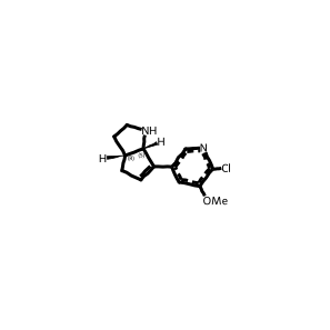 COc1cc(C2=CC[C@@H]3CCN[C@H]23)cnc1Cl